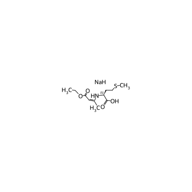 CCOC(=O)C=C(C)N[C@@H](CCSC)C(=O)O.[NaH]